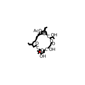 C/C=C1\CC2/C=C/C(C)(C)C3(O)OC(C/C(=C\C)C3OC(C)=O)CC(C(C)O)OC(=O)CC(O)CC3CC(O)C(C)(C)C(O)(CC(C1)O2)O3